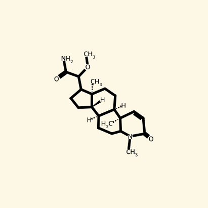 COC(C(N)=O)C1CC[C@H]2[C@@H]3CCC4N(C)C(=O)C=C[C@]4(C)[C@@H]3CC[C@]12C